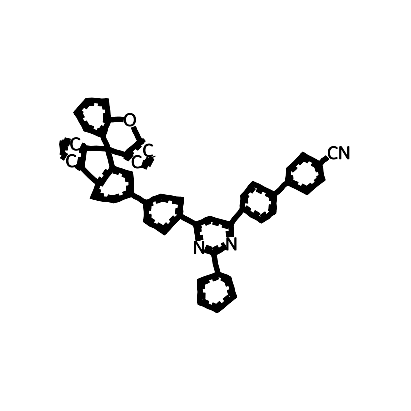 N#Cc1ccc(-c2ccc(-c3cc(-c4ccc(-c5ccc6c(c5)C5(c7ccccc7Oc7ccccc75)c5ccccc5-6)cc4)nc(-c4ccccc4)n3)cc2)cc1